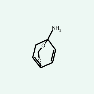 NC12C=CC(=CC1)OCO2